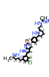 CC(=N)NCCC1CCCC(c2ccc(-n3cc4cc(-c5cc(CCC[C@H](C)N)cc(Cl)c5F)[nH]c4nc3=O)cc2)N1